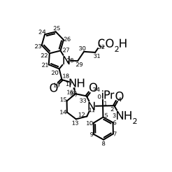 CC(C)C(C(N)=O)(c1ccccc1)N1CCCC[C@@H](NC(=O)c2cc3ccccc3n2CCCC(=O)O)C1=O